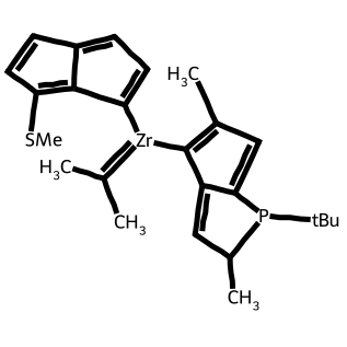 CSC1=C2C(=CC=[C]2[Zr]([C]2=C(C)C=C3C2=CC(C)P3C(C)(C)C)=[C](C)C)C=C1